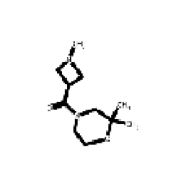 CN1CC(C(=O)N2CCOC(C)(C)C2)C1